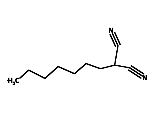 [CH2]CCCCCCC(C#N)C#N